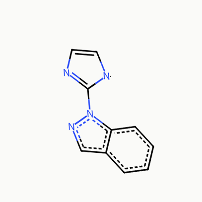 C1=CN=C(n2ncc3ccccc32)[N]1